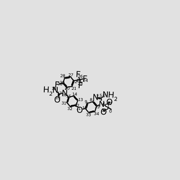 CS(=O)(=O)n1c(N)nc2cc(Oc3ccc(N(C(N)=O)c4cc(C(F)(F)F)ccc4F)cc3)ccc21